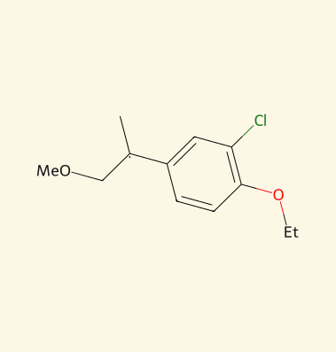 CCOc1ccc([C](C)COC)cc1Cl